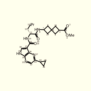 COC(=O)C1CC2(CC(NC(=O)[C@@H](CC(C)C)NC(=O)c3c[nH]c4ncc(C5CC5)nc34)C2)C1